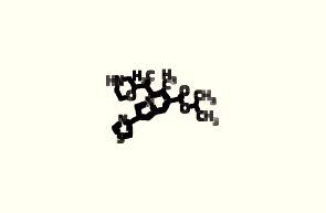 C=C(c1c(C)c(C(=O)OC(C)C)cc2cc(-c3cscn3)cn12)C1CNCCO1